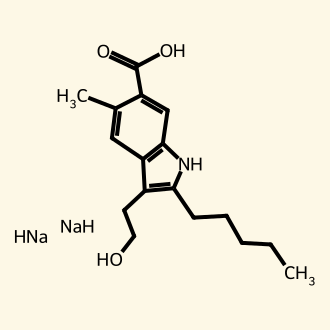 CCCCCc1[nH]c2cc(C(=O)O)c(C)cc2c1CCO.[NaH].[NaH]